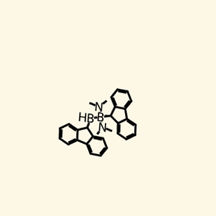 CN(C)[B-](BC1c2ccccc2-c2ccccc21)(C1c2ccccc2-c2ccccc21)N(C)C